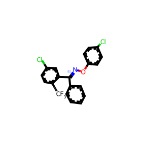 FC(F)(F)c1ccc(Cl)cc1/C(=N/Oc1ccc(Cl)cc1)c1ccccc1